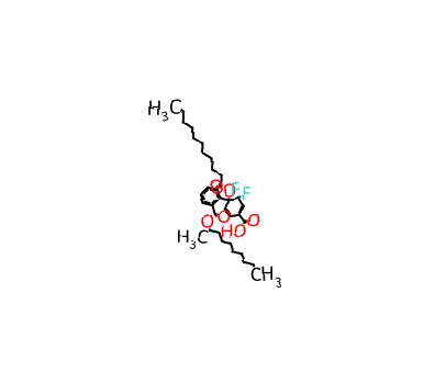 CCCCCCCCCCC(=O)OC1(c2ccccc2C(=O)OC(C)CCCCCCCC)C=CC(C(=O)O)=CC1(F)F